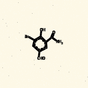 NC(=O)c1cc(C=O)cc(Br)c1O